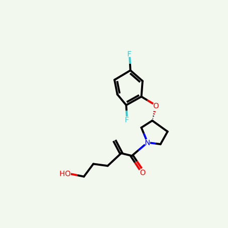 C=C(CCCO)C(=O)N1CC[C@@H](Oc2cc(F)ccc2F)C1